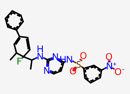 CC1C=C(c2ccccc2)C=CC1(F)C(C)Nc1nccc(NS(=O)(=O)c2cccc([N+](=O)[O-])c2)n1